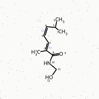 C/C(=C\C=C/C(C)C)C(=O)NCO